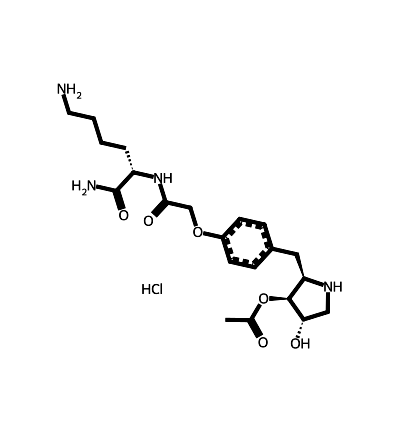 CC(=O)O[C@@H]1[C@@H](O)CN[C@@H]1Cc1ccc(OCC(=O)N[C@@H](CCCCN)C(N)=O)cc1.Cl